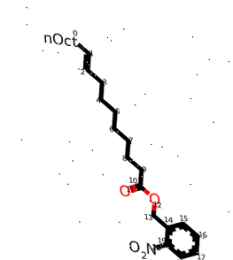 CCCCCCCCC=CCCCCCCCC(=O)OCc1ccccc1[N+](=O)[O-]